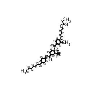 C=CC(=O)OCCCCOc1ccc(C(=O)Oc2ccc(C(=O)Oc3ccc(CCCCCCC)cc3)cc2C(F)(F)F)cc1C